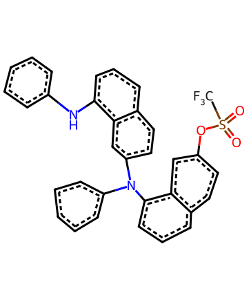 O=S(=O)(Oc1ccc2cccc(N(c3ccccc3)c3ccc4cccc(Nc5ccccc5)c4c3)c2c1)C(F)(F)F